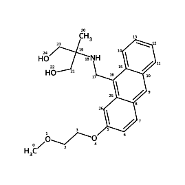 COCCOc1ccc2cc3ccccc3c(CNC(C)(CO)CO)c2c1